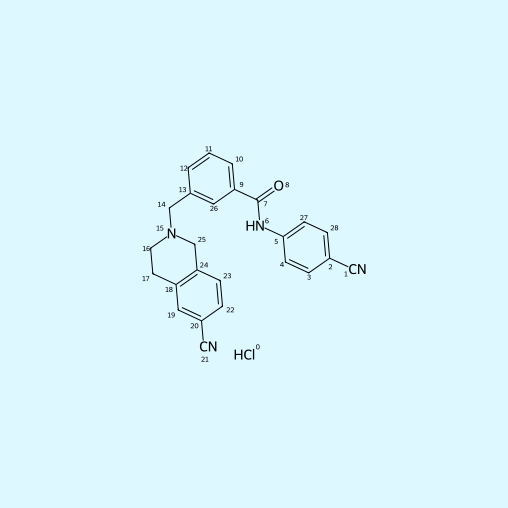 Cl.N#Cc1ccc(NC(=O)c2cccc(CN3CCc4cc(C#N)ccc4C3)c2)cc1